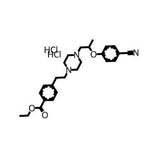 CCOC(=O)c1ccc(CCN2CCN(CC(C)Oc3ccc(C#N)cc3)CC2)cc1.Cl.Cl